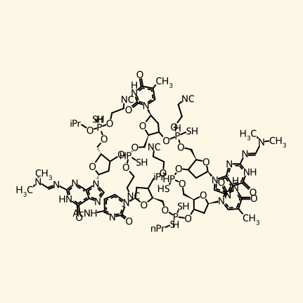 [C-]#[N+]CCO[PH](S)(OC[C@H]1O[C@@H](n2cnc3c(=O)[nH]c(/N=C/N(C)C)nc32)CC1O[PH](S)(OCC[N+]#[C-])OC[C@H]1O[C@@H](n2cc(C)c(=O)[nH]c2=O)CC1O[PH](S)(OCC[N+]#[C-])OC[C@H]1O[C@@H](n2cnc3c(=O)[nH]c(/N=C/N(C)C)nc32)CC1O[PH](S)(OCC[N+]#[C-])OC[C@H]1O[C@@H](n2cc(C)c(=O)[nH]c2=O)CC1O[PH](S)(OC[C@H]1O[C@@H](n2ccc(NC(C)=O)nc2=O)CC1C(C)C)SCCC)OC(C)C